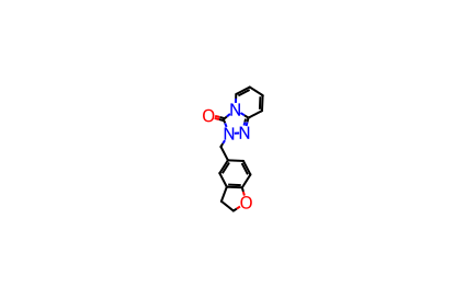 O=c1n(Cc2ccc3c(c2)CCO3)nc2ccccn12